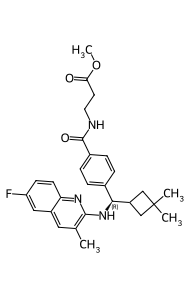 COC(=O)CCNC(=O)c1ccc([C@H](Nc2nc3ccc(F)cc3cc2C)C2CC(C)(C)C2)cc1